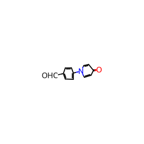 O=Cc1ccc(-n2ccc(=O)cc2)cc1